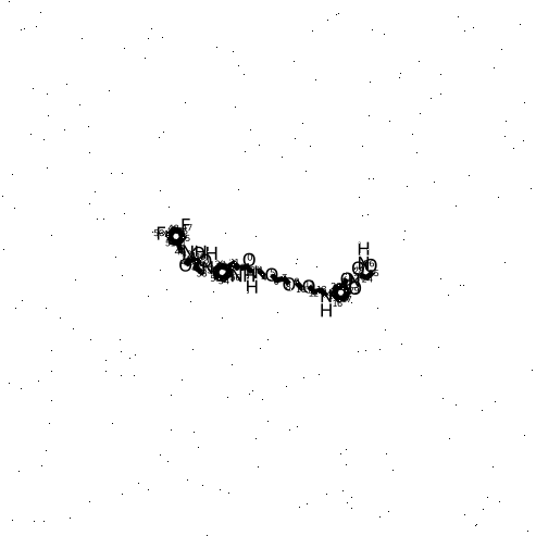 O=C(NCCOCCOCCOCCNc1ccc2c(c1)ON(C1CCONO1)O2)c1cc2cc(N3CC[C@@](O)(C(=O)NCc4cc(F)cc(F)c4)O3)ccc2[nH]1